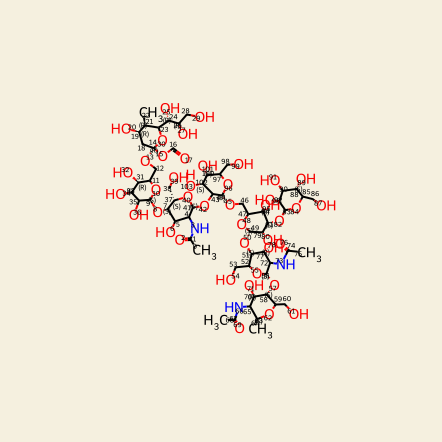 CC(=O)NC1C(O)[C@H](O[C@@H]2OC(CO[C@]3(OC=O)C[C@@H](O)[C@@H](C)C([C@H](O)[C@H](O)CO)O3)[C@H](O)[C@H](O)C2O)[C@H](CO)O[C@H]1OC1[C@@H](OCC2O[C@@H](O[C@@H]3C(CO)O[C@@H](O[C@@H]4C(CO)O[C@@H](C)C(NC(C)=O)[C@H]4O)C(NC(C)=O)[C@H]3O)C(O)[C@@H](OC3OC(CO)[C@@H](O)C(O)C3O)[C@@H]2O)OC(CO)[C@@H](O)[C@@H]1O